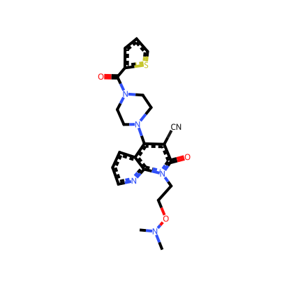 CN(C)OCCn1c(=O)c(C#N)c(N2CCN(C(=O)c3cccs3)CC2)c2cccnc21